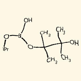 CC(C)OB(O)OC(C)(C)C(C)(C)O